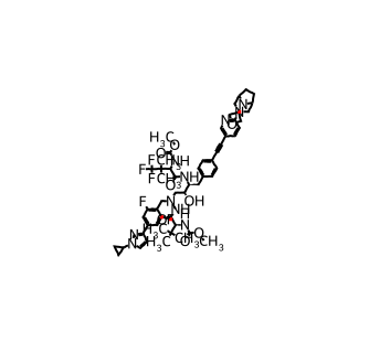 COC(=O)NC(C(=O)N[C@@H](Cc1ccc(C#Cc2ccc(N3CC4CCC(C3)N4C3COC3)nc2)cc1)[C@@H](O)CN(Cc1c(F)cc(-c2ccn(C3CC3)n2)cc1F)NC(=O)[C@@H](NC(=O)OC)C(C)(C)C)C(C)(C)C(F)(F)F